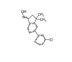 CC1(C)C/C(=N\O)c2ccc(-c3cccc(Cl)c3)cc21